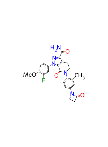 COc1ccc(-n2nc(C(N)=O)c3c2C(=O)N(c2ccc(N4CCC4=O)cc2C)CC3)cc1F